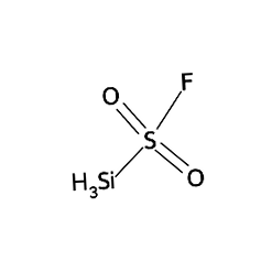 O=S(=O)(F)[SiH3]